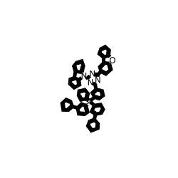 c1ccc(-c2cccc([Si](c3ccccc3)(c3cccc(-c4ccccc4)c3)c3cccc(-c4nc(-c5ccc6oc7ccccc7c6c5)nc(-n5c6ccccc6c6ccccc65)n4)c3)c2)cc1